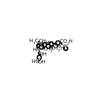 C=C(C)[C@@H]1CC[C@]2(NCCC3(O)CCS(O)(O)CC3)CC[C@]3(C)[C@H](CC[C@@H]4[C@@]5(C)CC=C(C6=CCC(COc7ccccn7)(C(=O)O)CC6)C(C)(C)[C@@H]5CC[C@]43C)[C@@H]12